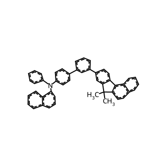 CC1(C)c2cc(-c3cccc(-c4ccc(N(c5ccccc5)c5cccc6ccccc56)cc4)c3)ccc2-c2c1ccc1ccccc21